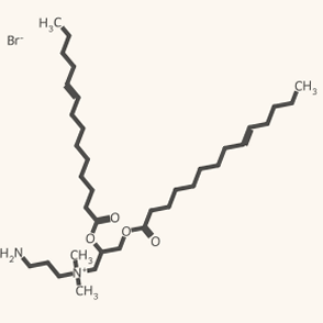 CCCCC=CCCCCCCCC(=O)OCC(C[N+](C)(C)CCCN)OC(=O)CCCCCCCC=CCCCC.[Br-]